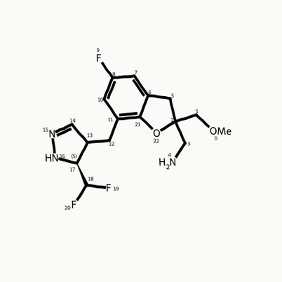 COCC1(CN)Cc2cc(F)cc(CC3C=NN[C@@H]3C(F)F)c2O1